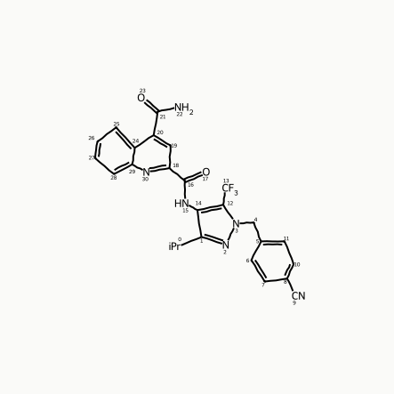 CC(C)c1nn(Cc2ccc(C#N)cc2)c(C(F)(F)F)c1NC(=O)c1cc(C(N)=O)c2ccccc2n1